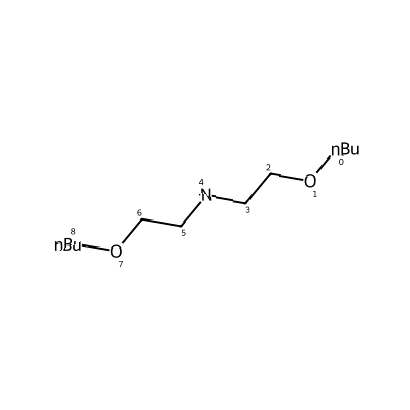 CCCCOCC[N]CCOCCCC